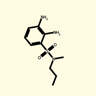 CCCN(C)S(=O)(=O)c1cccc(N)c1N